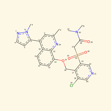 Cc1cc(-c2ccnn2C)c2cccc(OCc3c(Cl)cncc3S(=O)(=O)CC(=O)N(C)C)c2n1